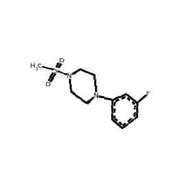 CS(=O)(=O)N1CCN(c2cccc(F)c2)CC1